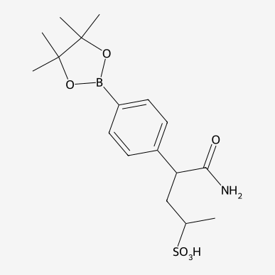 CC(CC(C(N)=O)c1ccc(B2OC(C)(C)C(C)(C)O2)cc1)S(=O)(=O)O